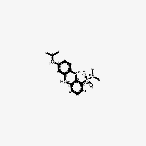 CC(C)Oc1ccc2c(c1)Nc1cccc(S(=O)(=O)N(C)C)c1S2